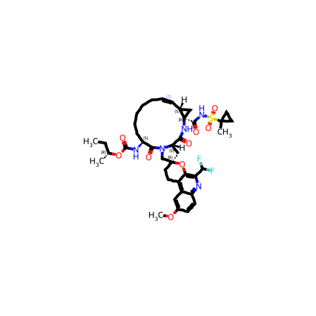 CC[C@@H](C)OC(=O)N[C@H]1CCCCC/C=C\[C@@H]2C[C@@]2(C(=O)NS(=O)(=O)C2(C)CC2)NC(=O)[C@@H]2C[C@]3(CCc4c(c(C(F)F)nc5ccc(OC)cc45)O3)CN2C1=O